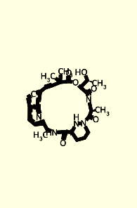 C[C@@H]1NC(=O)C([C@@H](C)O)OC(=O)C(C)(C)/C=C/c2ccc3ccc(nc3c2)[C@@H](C)NC(=O)[C@@H]2CCCN(N2)C1=O